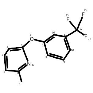 Cc1cccc(Oc2cccc(C(F)(F)F)c2)n1